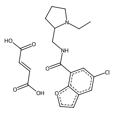 CCN1CCCC1CNC(=O)c1cc(Cl)cc2ccoc12.O=C(O)C=CC(=O)O